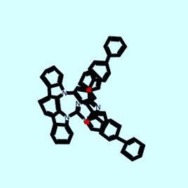 c1ccc(-c2ccc(-c3cc(-c4ccccc4)cc(-n4c5ccccc5c5ccc6c7ccccc7n(-c7nc(-c8ccccc8)nc(-c8ccc(-c9ccccc9)cc8)n7)c6c54)c3)cc2)cc1